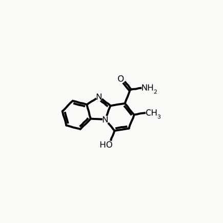 Cc1cc(O)n2c(nc3ccccc32)c1C(N)=O